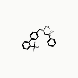 CN(Cc1ccc(-c2ccccc2C(F)(F)F)cc1)C[C@@H](O)c1ccccc1